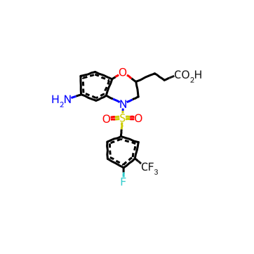 Nc1ccc2c(c1)N(S(=O)(=O)c1ccc(F)c(C(F)(F)F)c1)CC(CCC(=O)O)O2